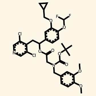 COc1ccc(CN(CC(=O)OC(Cc2c(Cl)cncc2Cl)c2ccc(OC(F)F)c(OCC3CC3)c2)C(=O)OC(C)(C)C)cc1OC